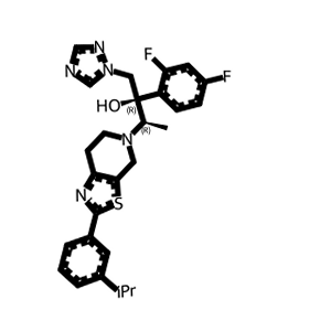 CC(C)c1cccc(-c2nc3c(s2)CN([C@H](C)[C@](O)(Cn2cncn2)c2ccc(F)cc2F)CC3)c1